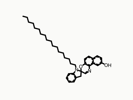 CCCCCCCCCCCCCCCCCCN1c2ccccc2CC12C=Nc1c(ccc3ccc(O)cc13)O2